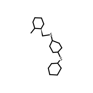 CC1CCCC[C@H]1CSC1CCC(SC2CCCCC2)CC1